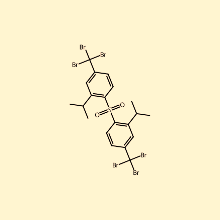 CC(C)c1cc(C(Br)(Br)Br)ccc1S(=O)(=O)c1ccc(C(Br)(Br)Br)cc1C(C)C